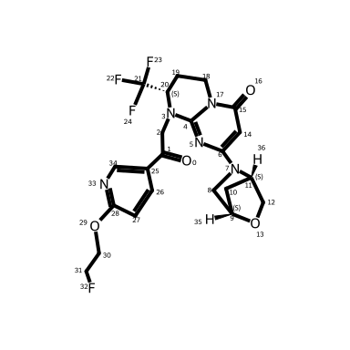 O=C(CN1c2nc(N3C[C@@H]4C[C@H]3CO4)cc(=O)n2CC[C@H]1C(F)(F)F)c1ccc(OCCF)nc1